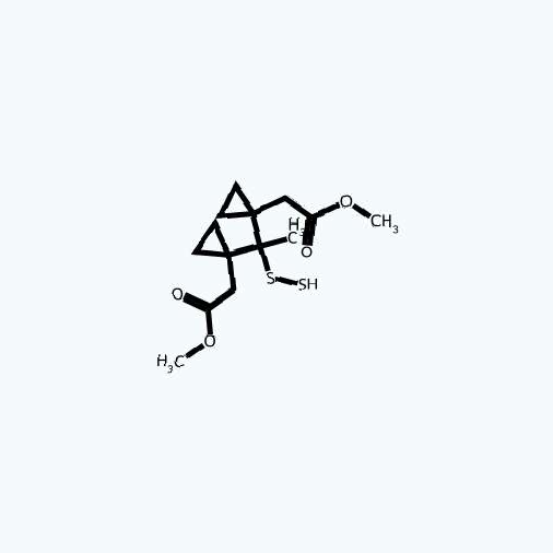 COC(=O)CC1(C(C)(SS)C2(CC(=O)OC)CC2)CC1